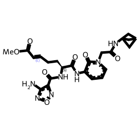 COC(=O)/C=C/CC[C@H](NC(=O)c1nonc1N)C(=O)Nc1cccn(CC(=O)NC23CC(C2)C3)c1=O